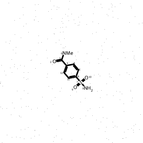 [CH2]NC(=O)c1ccc(S(N)(=O)=O)cc1